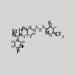 CC/N=C(\NCc1ccc(CCCc2ncc(C(F)(F)F)cc2F)cc1F)c1ccc(F)nc1